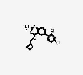 Nc1nc(OCC2CCC2)c2cc(-c3ccc(Cl)cc3Cl)ccc2n1